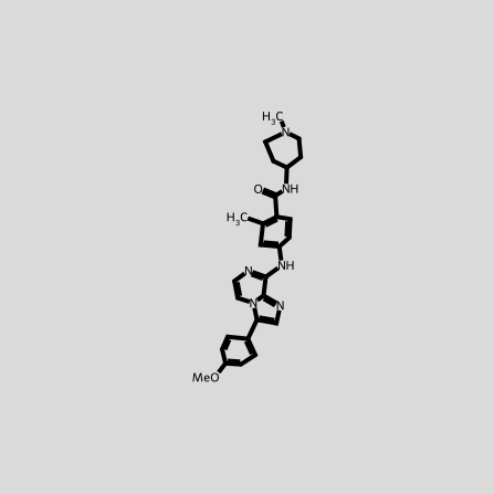 COc1ccc(-c2cnc3c(Nc4ccc(C(=O)NC5CCN(C)CC5)c(C)c4)nccn23)cc1